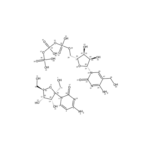 Nc1ccn([C@]2(CO)O[C@H](CO)[C@@H](O)[C@H]2O)c(=O)n1.Nc1nc(=O)n([C@@H]2O[C@H](COP(=O)(O)OP(=O)(O)OP(=O)(O)O)[C@@H](O)[C@H]2O)cc1CO